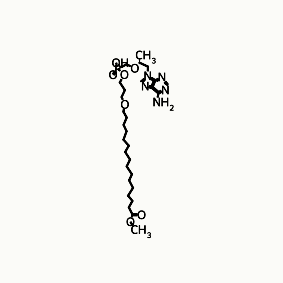 COC(=O)CCCCCCCCCCCCCCCOCCCOP(=O)(O)CO[C@H](C)Cn1cnc2c(N)ncnc21